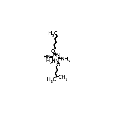 CCCCCCON(N=C(N)NOCCCC(C)C)C(=N)N